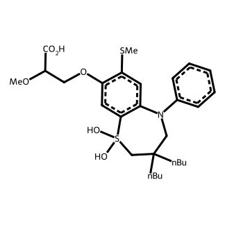 CCCCC1(CCCC)CN(c2ccccc2)c2cc(SC)c(OCC(OC)C(=O)O)cc2S(O)(O)C1